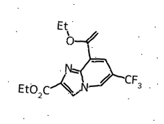 C=C(OCC)c1cc(C(F)(F)F)cn2cc(C(=O)OCC)nc12